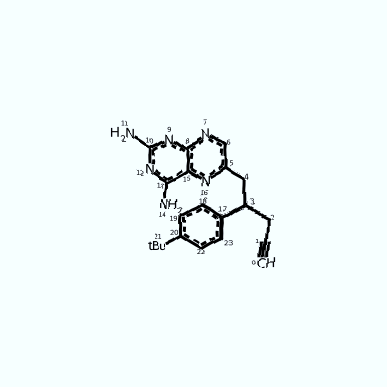 C#CCC(Cc1cnc2nc(N)nc(N)c2n1)c1ccc(C(C)(C)C)cc1